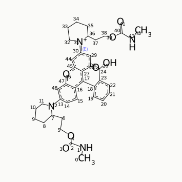 CNC(=O)OCCC1CCCCN1c1ccc2c(-c3ccccc3C(=O)O)c3cc/c(=[N+]4/CCCCC4CCOC(=O)NC)cc-3oc2c1